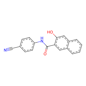 N#Cc1ccc(NC(=O)c2cc3ccccc3cc2O)cc1